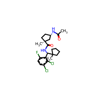 CC(=O)N[C@H]1CC[C@](C)(C(=O)N[C@H](c2c(F)ccc(Cl)c2Cl)C2(C)CCCC2)C1